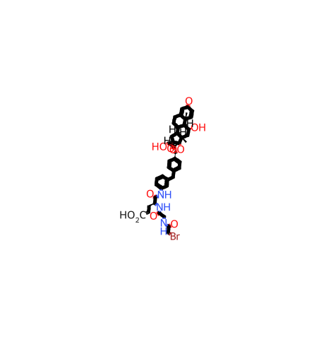 C[C@]12C=CC(=O)C=C1CC[C@@H]1[C@@H]2[C@@H](O)C[C@@]2(C)[C@H]1C[C@H]1O[C@@H](c3ccc(Cc4cccc(NC(=O)[C@H](CCC(=O)O)NC(=O)CNC(=O)CBr)c4)cc3)O[C@]12C(=O)CO